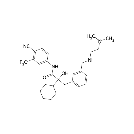 CN(C)CCNCc1cccc(CC(O)(C(=O)Nc2ccc(C#N)c(C(F)(F)F)c2)C2CCCCC2)c1